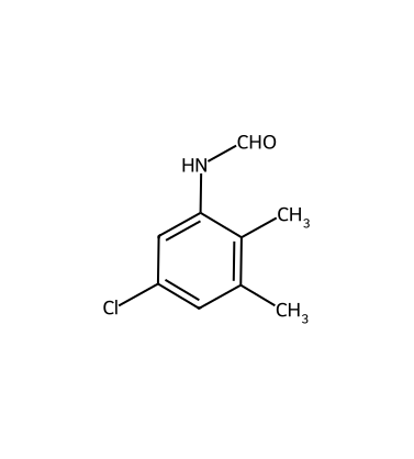 Cc1cc(Cl)cc(NC=O)c1C